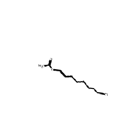 CC(=O)O/C=C/CCCCCCCl